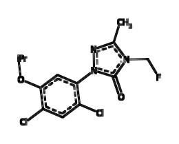 Cc1nn(-c2cc(OC(C)C)c(Cl)cc2Cl)c(=O)n1CF